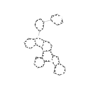 c1cc(-c2ccncc2)cc(-n2c3ccccc3c3c4c5ccccc5n5c6ccccc6cc5c4ccc32)c1